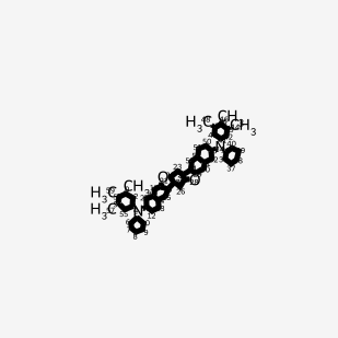 Cc1cc(N(c2ccccc2)c2ccc3cc4c(cc3c2)oc2cc3c(cc24)oc2cc4cc(N(c5ccccc5)c5cc(C)c(C)c(C)c5)ccc4cc23)cc(C)c1C